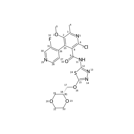 COc1c(C)nc(Cl)c(C(=O)Nc2nnc(OC[C@H]3COCCO3)s2)c1-c1ccncc1F